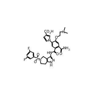 CN(C)CCOc1cc(C(N)=O)c(C(=O)Nc2n[nH]c3c2CN(S(=O)(=O)c2cc(F)cc(F)c2)CC3)cc1-n1ccc(C(=O)O)c1